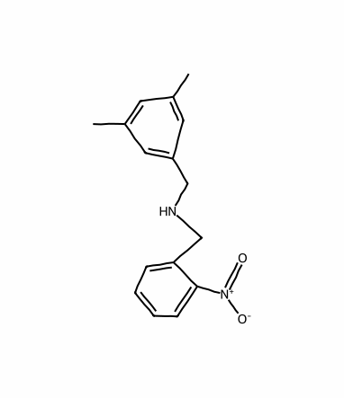 Cc1cc(C)cc(CNCc2ccccc2[N+](=O)[O-])c1